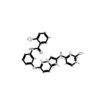 O=C(Nc1cccc(Oc2ccc3nc(Nc4ccnc(Cl)n4)cn3n2)c1)c1ccccc1C(F)(F)F